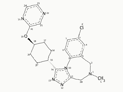 CN1Cc2cc(Cl)ccc2-n2c(nnc2[C@H]2CC[C@H](Oc3cnccn3)CC2)C1